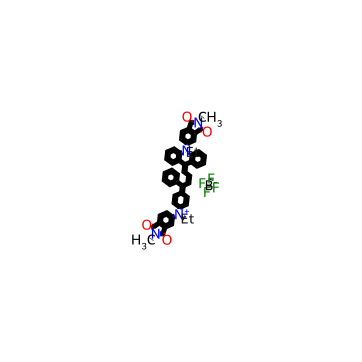 CCN(c1ccc2c(c1)C(=O)N(C)C2=O)c1ccccc1C(=CC=CC(=C1C=CC(=[N+](CC)c2ccc3c(c2)C(=O)N(C)C3=O)C=C1)c1ccccc1)c1ccccc1.F[B-](F)(F)F